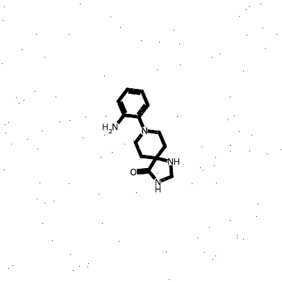 Nc1ccccc1N1CCC2(CC1)NCNC2=O